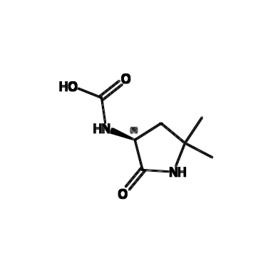 CC1(C)C[C@H](NC(=O)O)C(=O)N1